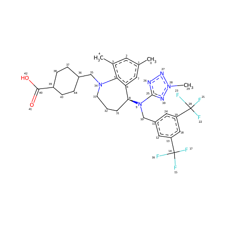 Cc1cc(C)c2c(c1)[C@@H](N(Cc1cc(C(F)(F)F)cc(C(F)(F)F)c1)c1nnn(C)n1)CCCN2CC1CCC(C(=O)O)CC1